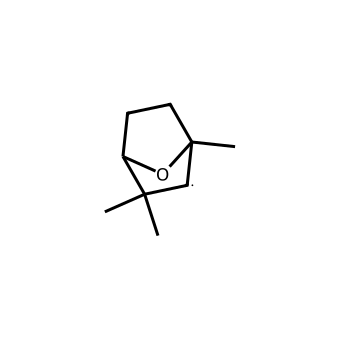 CC12[CH]C(C)(C)C(CC1)O2